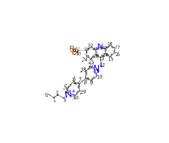 CCCC[n+]1ccc(-c2cc[n+](Cc3c4ccccc4nc4ccccc34)cc2)cc1.[Br-].[Br-]